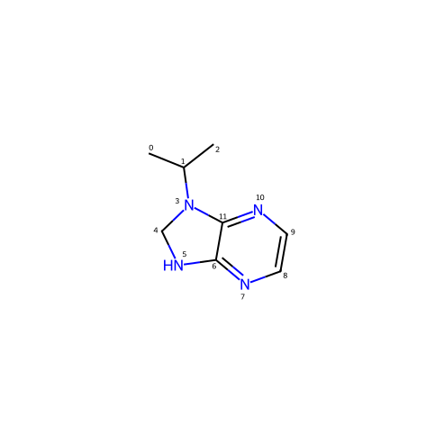 CC(C)N1CNc2nccnc21